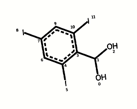 OC(O)c1c(I)cc(I)cc1I